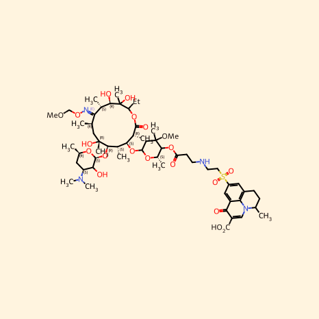 CCC1OC(=O)[C@H](C)[C@@H](OC2CC(C)(OC)C(OC(=O)CCNCCS(=O)(=O)c3cc4c5c(c3)c(=O)c(C(=O)O)cn5C(C)CC4)[C@H](C)O2)[C@H](C)[C@@H](O[C@@H]2O[C@H](C)C[C@H](N(C)C)C2O)[C@](C)(O)C[C@@H](C)/C(=N\OCOC)[C@H](C)[C@@H](O)C1(C)O